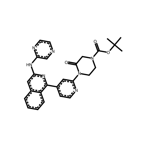 CC(C)(C)OC(=O)N1CCN(c2cc(-c3nc(Nc4cnccn4)cc4ccccc34)ccn2)C(=O)C1